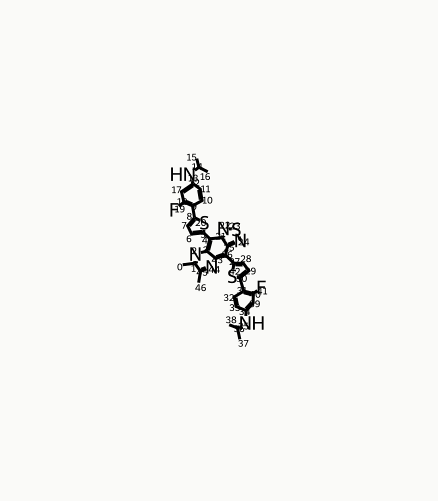 Cc1nc2c(-c3ccc(-c4ccc(NC(C)C)cc4F)s3)c3nsnc3c(-c3ccc(-c4ccc(NC(C)C)cc4F)s3)c2nc1C